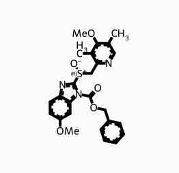 COc1ccc2nc([S@@+]([O-])Cc3ncc(C)c(OC)c3C)n(C(=O)OCc3ccccc3)c2c1